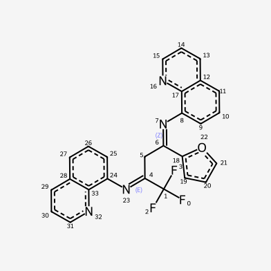 FC(F)(F)/C(C/C(=N/c1cccc2cccnc12)c1ccco1)=N/c1cccc2cccnc12